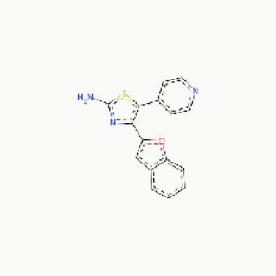 Nc1nc(-c2cc3ccccc3o2)c(-c2ccncc2)s1